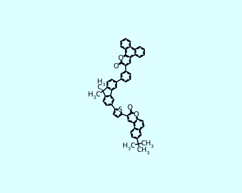 CC(C)(C)c1ccc2c(ccc3oc(=O)c(-c4ccc(-c5ccc6c(c5)-c5cc(-c7cccc(-c8cc9c%10ccccc%10c%10ccccc%10c9oc8=O)c7)ccc5C6(C)C)s4)cc32)c1